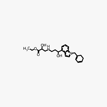 CCOC(=O)C(O)CNCCC(O)c1cccc2c1ccn2CC1=CC=CCC1